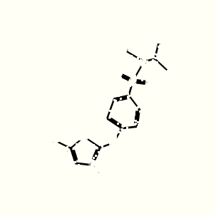 CC(C)N(C)S(=O)(=O)c1ccc(Oc2ncc(Br)s2)cc1